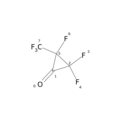 O=C1C(F)(F)C1(F)C(F)(F)F